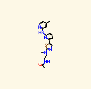 CC(=O)NCCN(C)c1ncc(-c2cccc(Nc3cc(C)ccn3)n2)s1